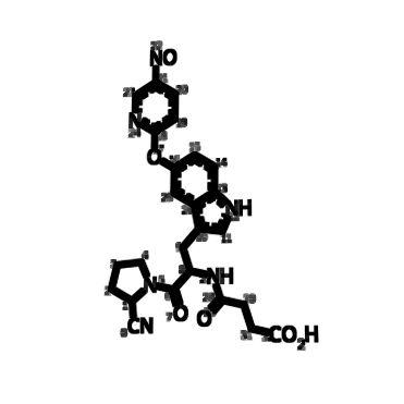 N#CC1CCCN1C(=O)C(Cc1c[nH]c2ccc(Oc3ccc(N=O)cn3)cc12)NC(=O)CCC(=O)O